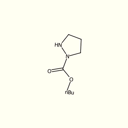 CCCCOC(=O)N1CCCN1